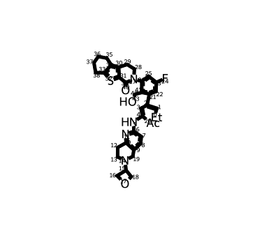 CC/C=C(\C=C(\Nc1ccc2c(n1)CCN(C1COC1)C2)C(C)=O)c1cc(F)cc(N2CCc3c(sc4c3CCCC4)C2=O)c1CO